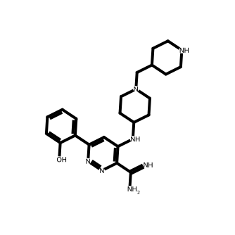 N=C(N)c1nnc(-c2ccccc2O)cc1NC1CCN(CC2CCNCC2)CC1